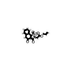 C=CCOC(=O)CN1C(=O)C2=C(c3ccccc3CC2=O)S1(=O)=O